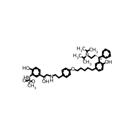 CC(C)N(CC[C@H](c1ccccc1)c1cc(CCCCCOc2ccc(CCNC[C@H](O)c3ccc(O)c(NS(C)(=O)=O)c3)cc2)ccc1O)C(C)C